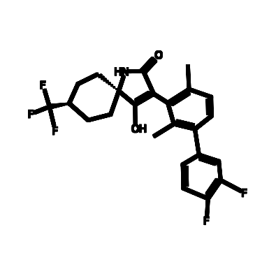 Cc1ccc(-c2ccc(F)c(F)c2)c(C)c1C1=C(O)[C@]2(CC[C@H](C(F)(F)F)CC2)NC1=O